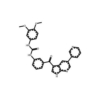 COc1ccc(NC(=O)Nc2cccc(C(=O)c3c[nH]c4ncc(-c5cccnc5)cc34)c2)cc1OC